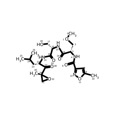 COC[C@H](NC(=O)c1cc(C)on1)C(=O)N[C@@H](CO)C(=O)N[C@@H](CC(C)C)C(=O)[C@@]1(C)CO1